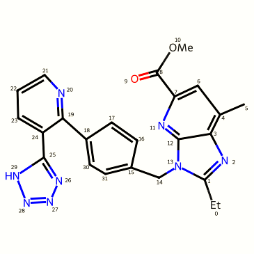 CCc1nc2c(C)cc(C(=O)OC)nc2n1Cc1ccc(-c2ncccc2-c2nnn[nH]2)cc1